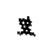 Cc1cc(C)c(CCCBr)c(-c2ccc(F)c(C)c2)c1